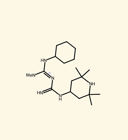 CN/C(=N\C(=N)NC1CC(C)(C)NC(C)(C)C1)NC1CCCCC1